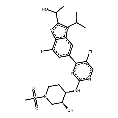 CC(O)c1nc2c(F)cc(-c3nc(N[C@@H]4CCN(S(C)(=O)=O)C[C@@H]4O)ncc3Cl)cc2n1C(C)C